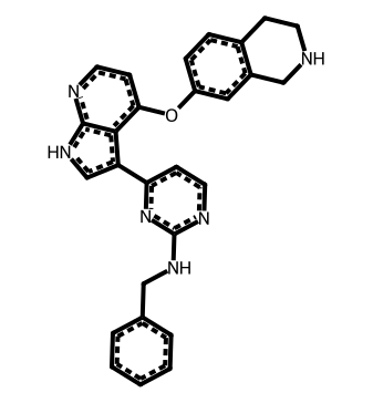 c1ccc(CNc2nccc(-c3c[nH]c4nccc(Oc5ccc6c(c5)CNCC6)c34)n2)cc1